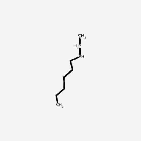 CCCCCCP[PH3]C